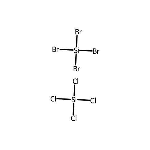 Br[Si](Br)(Br)Br.Cl[Si](Cl)(Cl)Cl